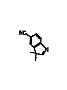 CC1(C)C=Nc2ccc(C#N)cc21